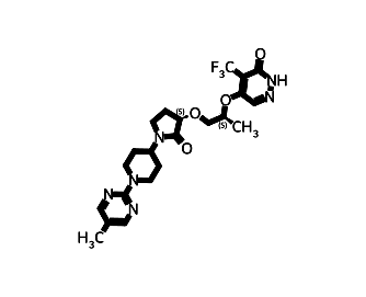 Cc1cnc(N2CCC(N3CC[C@H](OC[C@H](C)Oc4cn[nH]c(=O)c4C(F)(F)F)C3=O)CC2)nc1